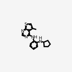 Cc1csc2ncnc(Nc3ccccc3NC3CCCC3)c12